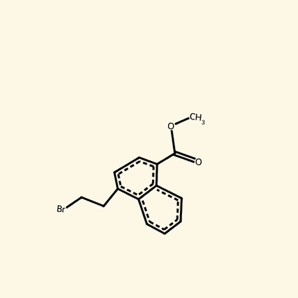 COC(=O)c1ccc(CCBr)c2ccccc12